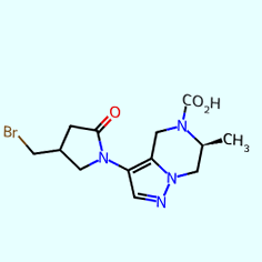 C[C@H]1Cn2ncc(N3CC(CBr)CC3=O)c2CN1C(=O)O